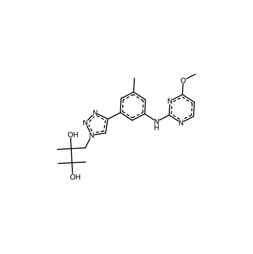 COc1ccnc(Nc2cc(C)cc(-c3cn(CC(C)(O)C(C)(C)O)nn3)c2)n1